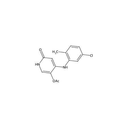 CC(=O)Oc1c[nH]c(=O)cc1Nc1cc(Cl)ccc1C